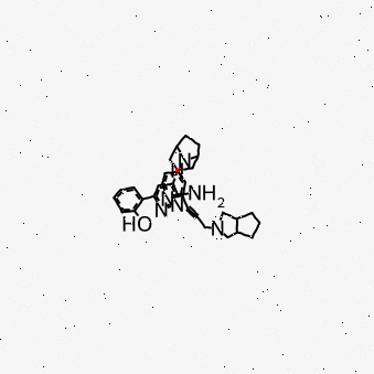 Nc1nnc(-c2ccccc2O)cc1N1CC2CCC(C1)N2c1ccnc(C#CCN2CC3CCCC3C2)c1